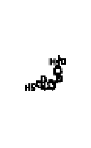 CC(=O)Nc1ccc(Oc2ccc(CN3CC(S)CC3=O)cc2)cc1